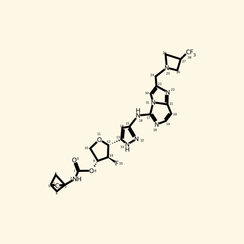 O=C(NC12CC(C1)C2)O[C@@H]1CO[C@H](c2cc(Nc3nccc4nc(CN5CC(C(F)(F)F)C5)cn34)n[nH]2)[C@H]1F